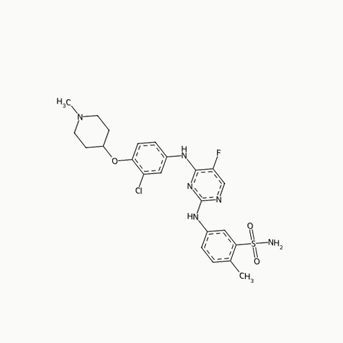 Cc1ccc(Nc2ncc(F)c(Nc3ccc(OC4CCN(C)CC4)c(Cl)c3)n2)cc1S(N)(=O)=O